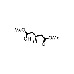 COC(=O)CP(Cl)CC(O)OC